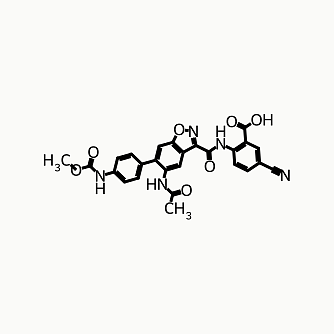 COC(=O)Nc1ccc(-c2cc3onc(C(=O)Nc4ccc(C#N)cc4C(=O)O)c3cc2NC(C)=O)cc1